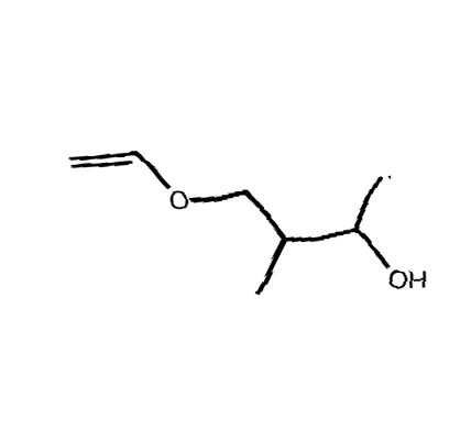 [CH2]C(O)C(C)COC=C